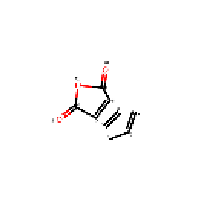 C=C.C=CC.O=C1C=CC(=O)O1